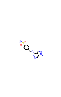 Cn1ncc2c(NCc3ccc(S(N)(=O)=O)cc3)nncc21